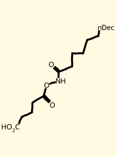 CCCCCCCCCCCCCCCC(=O)NOC(=O)CCCC(=O)O